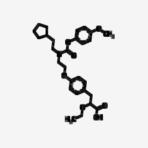 CCOC(Cc1ccc(OCCN(CCC2CCCC2)C(=O)Oc2ccc(OC)cc2)cc1)C(=O)O